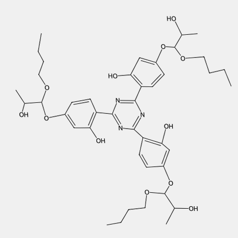 CCCCOC(Oc1ccc(-c2nc(-c3ccc(OC(OCCCC)C(C)O)cc3O)nc(-c3ccc(OC(OCCCC)C(C)O)cc3O)n2)c(O)c1)C(C)O